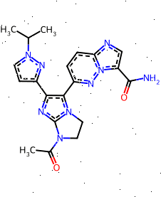 CC(=O)N1CCn2c1nc(-c1ccn(C(C)C)n1)c2-c1ccc2ncc(C(N)=O)n2n1